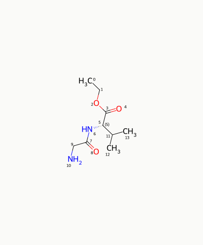 CCOC(=O)[C@@H](NC(=O)CN)C(C)C